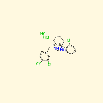 CN[C@]1(c2ccccc2Cl)CCCC[C@H]1NCc1ccc(Cl)c(Cl)c1.Cl.Cl